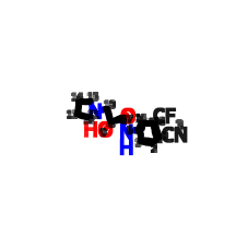 N#Cc1ccc(NC(=O)[C@@H](O)CN2CCCC2)cc1C(F)(F)F